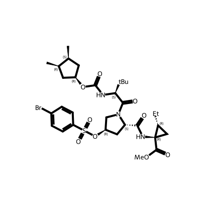 CC[C@@H]1C[C@]1(NC(=O)[C@@H]1C[C@@H](OS(=O)(=O)c2ccc(Br)cc2)CN1C(=O)[C@@H](NC(=O)O[C@H]1C[C@@H](C)[C@@H](C)C1)C(C)(C)C)C(=O)OC